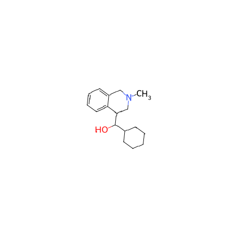 CN1Cc2ccccc2C(C(O)C2CCCCC2)C1